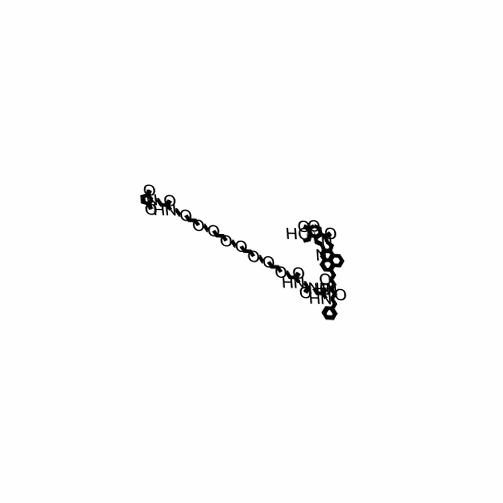 CC[C@@]1(O)C(=O)OCc2c1cc1n(c2=O)Cc2c-1nc1ccc(CC(=O)CNC(=O)C(Cc3ccccc3)NC(=O)CNC(=O)CNC(=O)CCOCCOCCOCCOCCOCCOCCOCCOCCNC(=O)CCN3C(=O)C=CC3=O)c3c1c2CCC3